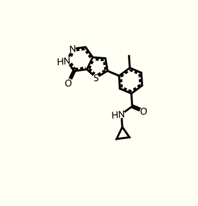 Cc1ccc(C(=O)NC2CC2)cc1-c1cc2cn[nH]c(=O)c2s1